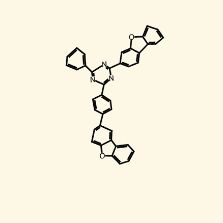 c1ccc(-c2nc(-c3ccc(-c4ccc5oc6ccccc6c5c4)cc3)nc(-c3ccc4c(c3)oc3ccccc34)n2)cc1